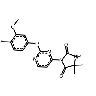 COc1cc(Oc2nccc(N3C(=O)NC(C)(C)C3=O)n2)ccc1F